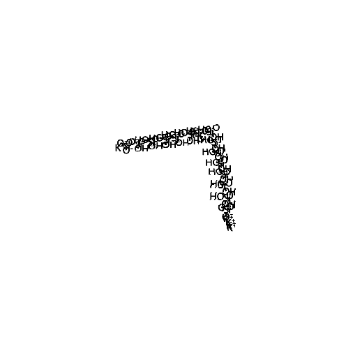 O=[Si](O)O.O=[Si](O)O.O=[Si](O)O.O=[Si](O)O.O=[Si](O)O.O=[Si](O)O.O=[Si](O)O.O=[Si](O)O.O=[Si](O)O.O=[Si](O)O.O=[Si](O)O.O=[Si](O)O.O=[Si]([O-])O.O=[Si]([O-])[O-].O=[Si]([O-])[O-].[K+].[K+].[K+].[K+].[K+]